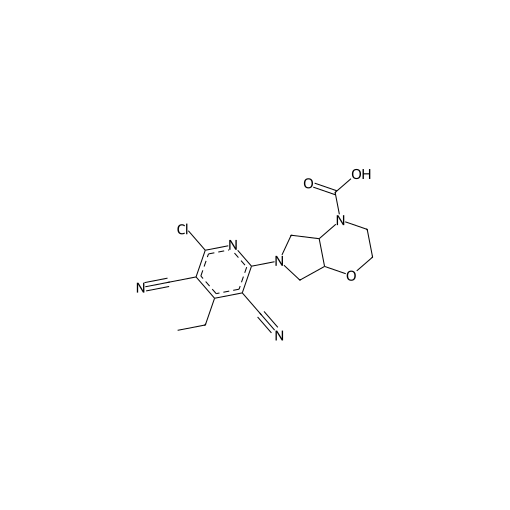 CCc1c(C#N)c(Cl)nc(N2CC3OCCN(C(=O)O)C3C2)c1C#N